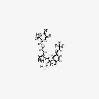 CC[C@@](O)(Cn1nncc1CCOCn1cc(F)c(=O)[nH]c1=O)c1cccc(OCC(F)(F)F)c1